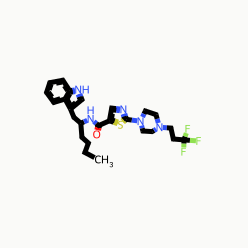 CCCCC(Cc1c[nH]c2ccccc12)NC(=O)c1cnc(N2CCN(CCC(F)(F)F)CC2)s1